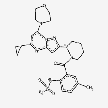 Cc1ccc(NS(C)(=O)=O)c(C(=O)N2CCCC[C@H]2c2cc3nc(C4CC4)cc(N4CCOCC4)n3n2)c1